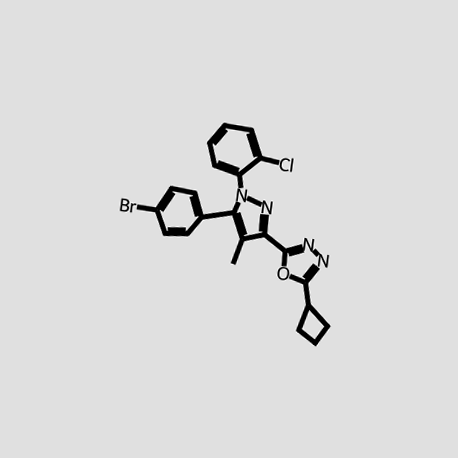 Cc1c(-c2nnc(C3CCC3)o2)nn(-c2ccccc2Cl)c1-c1ccc(Br)cc1